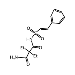 CCC(CC)(C(N)=O)C(=O)NS(=O)(=O)C=Cc1ccccc1